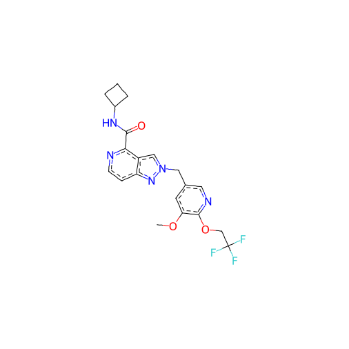 COc1cc(Cn2cc3c(C(=O)NC4CCC4)nccc3n2)cnc1OCC(F)(F)F